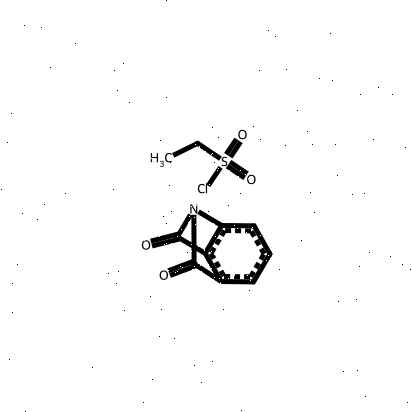 CCS(=O)(=O)Cl.O=C1c2cccc3c2C(=O)N13